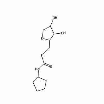 OC1COC(CSC(=S)NC2CCCC2)C1O